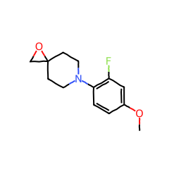 COc1ccc(N2CCC3(CC2)CO3)c(F)c1